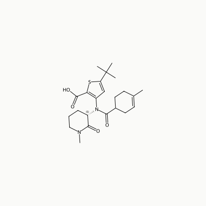 CC1=CCC(C(=O)N(c2cc(C(C)(C)C)sc2C(=O)O)[C@H]2CCCN(C)C2=O)CC1